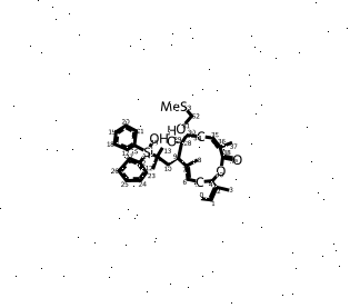 C/C=C(/C)[C@H]1C/C=C(\C)[C@@H](CC(C)(C)[Si](O)(c2ccccc2)c2ccccc2)[C@H](O)C(OCSC)C/C=C(/C)C(=O)O1